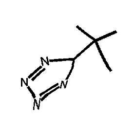 CC(C)(C)C1N=NN=N1